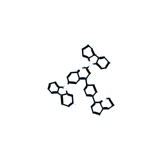 c1cnc2c(-c3ccc(-c4cc(-n5c6ccccc6c6ccccc65)nc5ccc(-n6c7ccccc7c7ccccc76)cc45)cc3)cccc2c1